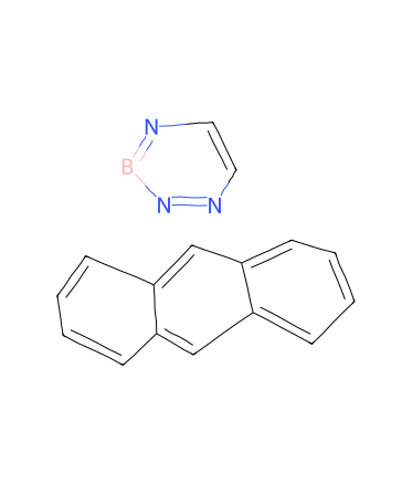 b1nccnn1.c1ccc2cc3ccccc3cc2c1